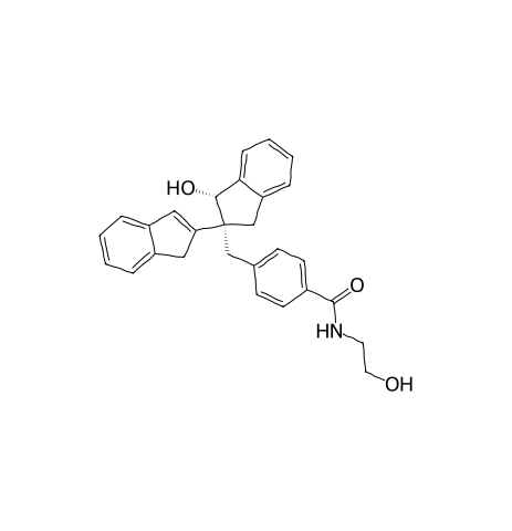 O=C(NCCO)c1ccc(C[C@@]2(C3=Cc4ccccc4C3)Cc3ccccc3[C@H]2O)cc1